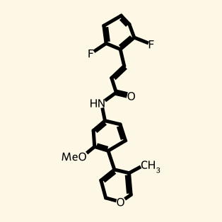 COc1cc(NC(=O)C=Cc2c(F)cccc2F)ccc1C1=CCOC=C1C